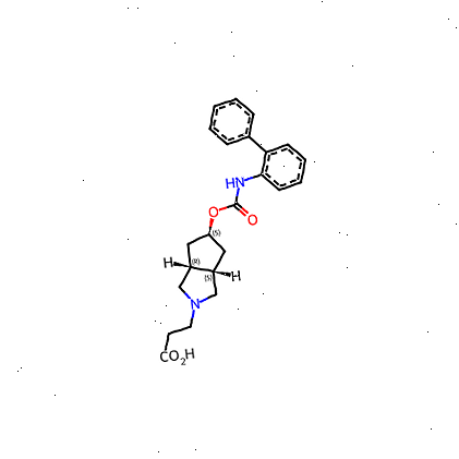 O=C(O)CCN1C[C@H]2C[C@H](OC(=O)Nc3ccccc3-c3ccccc3)C[C@H]2C1